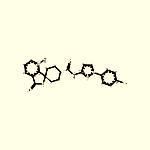 O=C1O[C@]2(CC[C@@H](C(=O)Nc3ccn(-c4ccc(F)cc4)n3)CC2)c2c1ccc[n+]2[O-]